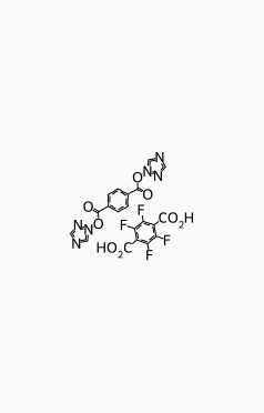 O=C(O)c1c(F)c(F)c(C(=O)O)c(F)c1F.O=C(On1cncn1)c1ccc(C(=O)On2cncn2)cc1